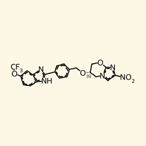 O=[N+]([O-])c1cn2c(n1)OC[C@@H](OCc1ccc(-c3nc4cc(OC(F)(F)F)ccc4[nH]3)cc1)C2